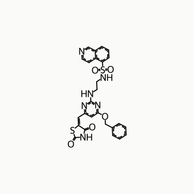 O=C1NC(=O)/C(=C\c2cc(OCc3ccccc3)nc(NCCNS(=O)(=O)c3cccc4cnccc34)n2)S1